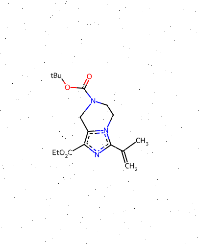 C=C(C)c1nc(C(=O)OCC)c2n1CCN(C(=O)OC(C)(C)C)C2